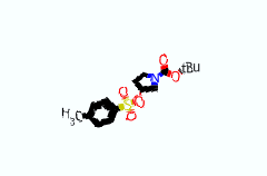 Cc1ccc(S(=O)(=O)O[C@@H]2CCN(C(=O)OC(C)(C)C)C2)cc1